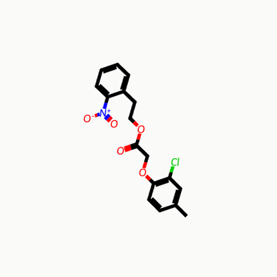 Cc1ccc(OCC(=O)OCCc2ccccc2[N+](=O)[O-])c(Cl)c1